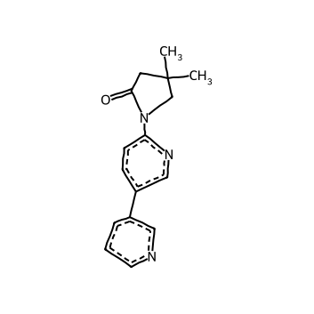 CC1(C)CC(=O)N(c2ccc(-c3cccnc3)cn2)C1